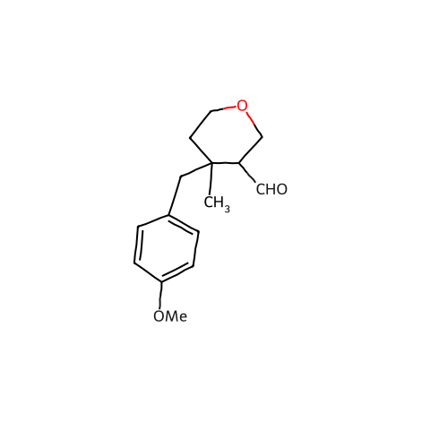 COc1ccc(CC2(C)CCOCC2C=O)cc1